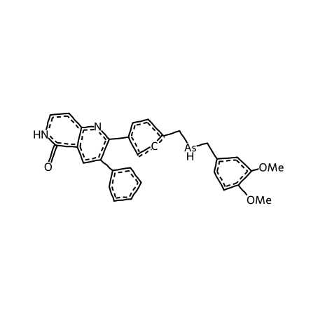 COc1ccc(C[AsH]Cc2ccc(-c3nc4cc[nH]c(=O)c4cc3-c3ccccc3)cc2)cc1OC